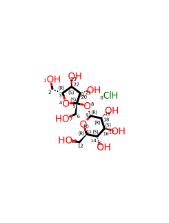 Cl.OC[C@H]1O[C@@](CO)(O[C@H]2O[C@H](CO)[C@@H](O)[C@H](O)[C@H]2O)[C@@H](O)[C@@H]1O